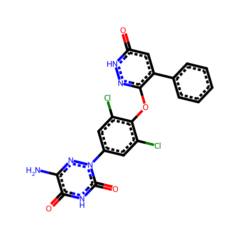 Nc1nn(-c2cc(Cl)c(Oc3n[nH]c(=O)cc3-c3ccccc3)c(Cl)c2)c(=O)[nH]c1=O